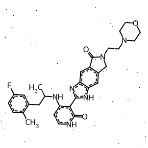 Cc1ccc(F)cc1CC(C)Nc1cc[nH]c(=O)c1-c1nc2cc3c(cc2[nH]1)CN(CCN1CCOCC1)C3=O